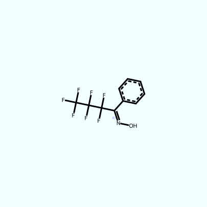 O/N=C(\c1ccccc1)C(F)(F)C(F)(F)C(F)(F)F